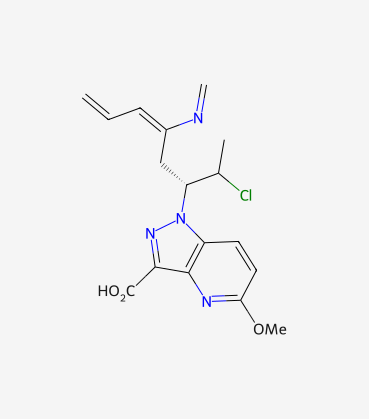 C=C/C=C(\C[C@H](C(C)Cl)n1nc(C(=O)O)c2nc(OC)ccc21)N=C